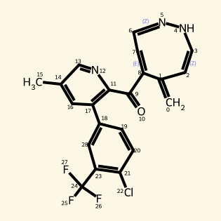 C=C1/C=C\N/N=C\C=C/1C(=O)c1ncc(C)cc1-c1ccc(Cl)c(C(F)(F)F)c1